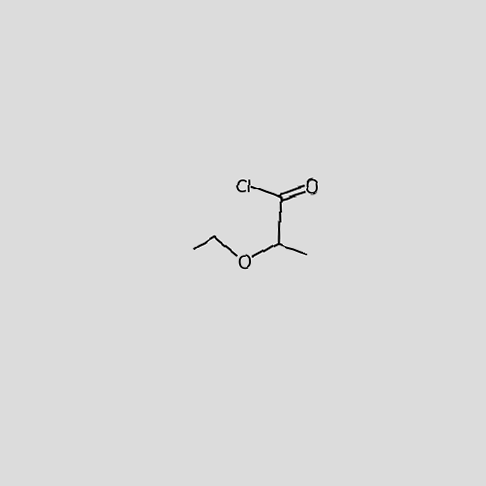 CCOC(C)C(=O)Cl